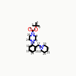 CC(C)(C)OC(=O)N1CCN(c2ccccc2CN2CCCCC2)CC1